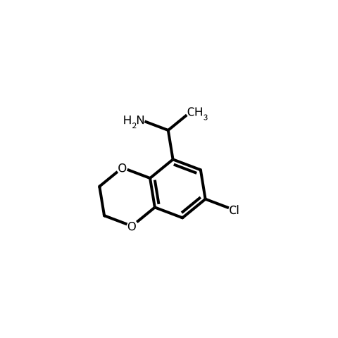 CC(N)c1cc(Cl)cc2c1OCCO2